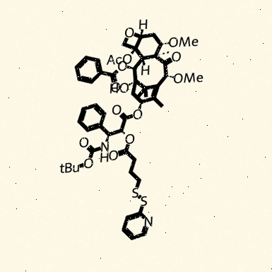 CO[C@H]1C(=O)[C@]2(C)[C@@H](OC)C[C@H]3OC[C@@]3(OC(C)=O)[C@H]2[C@H](OC(=O)c2ccccc2)[C@]2(O)C[C@H](OC(=O)[C@H](OC(=O)CCCSSc3ccccn3)[C@@H](NC(=O)OC(C)(C)C)c3ccccc3)C(C)=C1C2(C)C